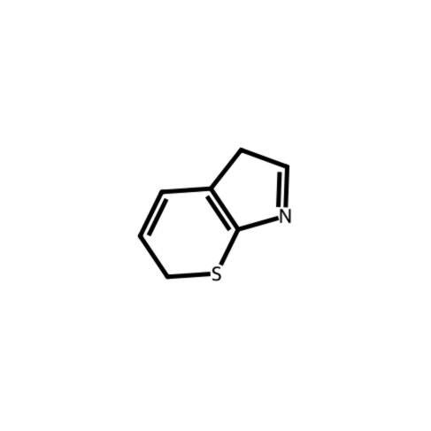 C1=CC2=C(N=CC2)SC1